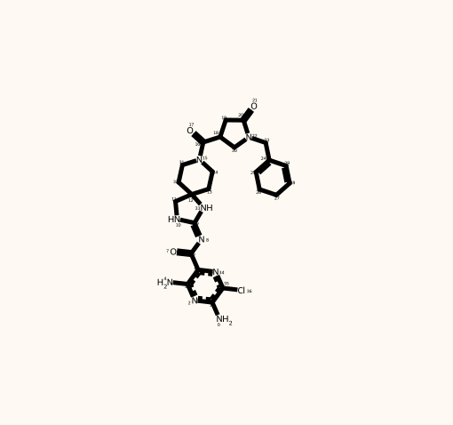 Nc1nc(N)c(C(=O)/N=C2\NCC3(CCN(C(=O)C4CC(=O)N(CC5=CCCC=C5)C4)CC3)N2)nc1Cl